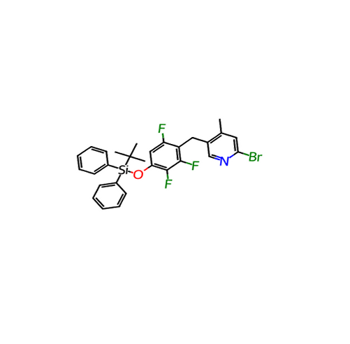 Cc1cc(Br)ncc1Cc1c(F)cc(O[Si](c2ccccc2)(c2ccccc2)C(C)(C)C)c(F)c1F